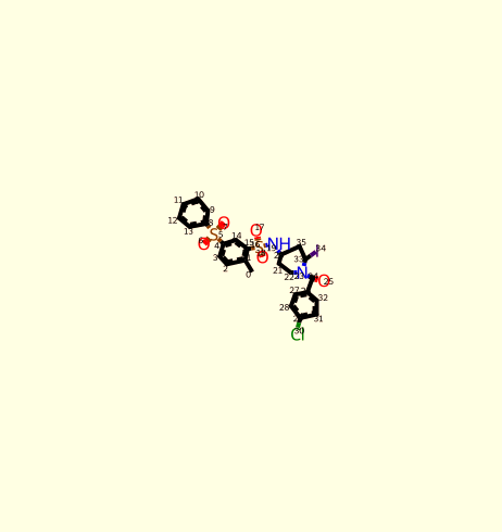 Cc1ccc(S(=O)(=O)c2ccccc2)cc1S(=O)(=O)NC1CCN(C(=O)c2ccc(Cl)cc2)C(I)C1